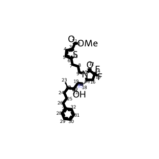 COC(=O)c1ccc(CCCN2C(=O)C(F)(F)C[C@@H]2/C=C/[C@H](O)[C@H](C)CCCc2ccccc2)s1